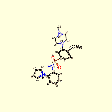 COc1ccc(S(=O)(=O)Nc2ccccc2-n2cccc2)cc1N1CCN(C)CC1